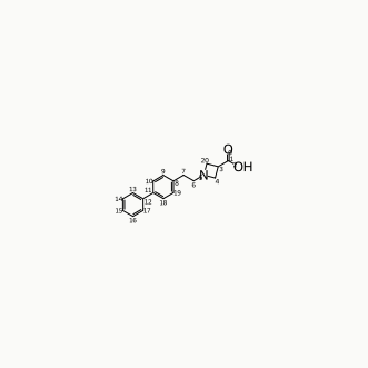 O=C(O)C1CN(CCc2ccc(-c3ccccc3)cc2)C1